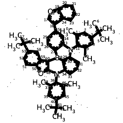 Cc1cc(C(C)(C)C)cc(C)c1N1c2cc(-c3coc4ccccc34)ccc2B2c3c1cccc3N(c1c(C)cc(C(C)(C)C)cc1C)c1oc3ccc(C(C)(C)C)cc3c12